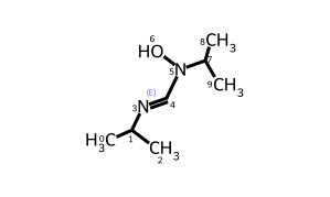 CC(C)/N=C/N(O)C(C)C